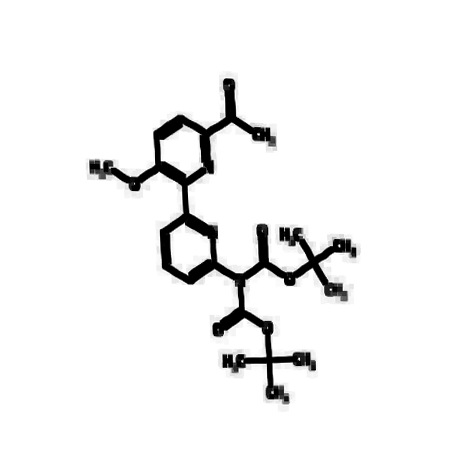 COc1ccc(C(C)=O)nc1-c1cccc(N(C(=O)OC(C)(C)C)C(=O)OC(C)(C)C)n1